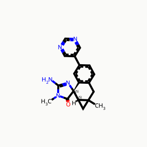 CN1C(=O)[C@@]2(N=C1N)c1cc(-c3cncnc3)ccc1CC1(C)C[C@@H]12